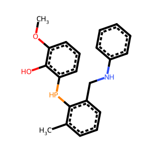 COc1cccc(Pc2c(C)cccc2CNc2ccccc2)c1O